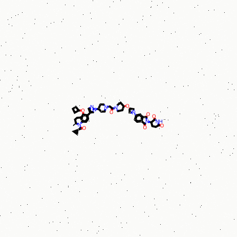 C[C@H]1CCc2c(ccc(-c3cnn(C4CCN(CC(=O)N5CCC(OC6CN(c7ccc8c(c7)C(=O)N(C7CCC(=O)NC7=O)C8=O)C6)CC5)CC4)c3)c2OC2CCC2)N1C(=O)C1CC1